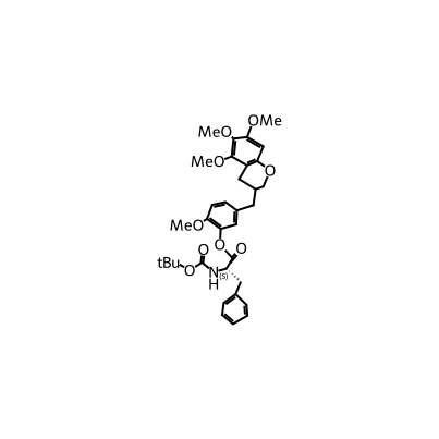 COc1ccc(CC2COc3cc(OC)c(OC)c(OC)c3C2)cc1OC(=O)[C@H](Cc1ccccc1)NC(=O)OC(C)(C)C